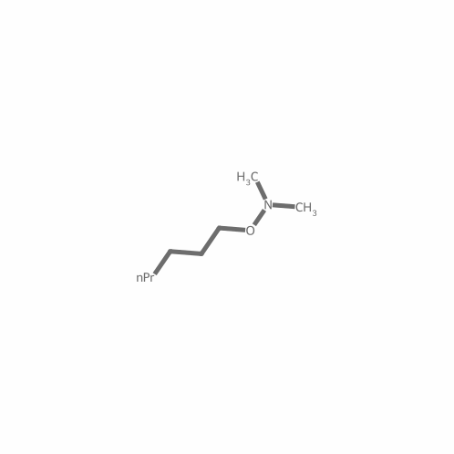 CCCCCCON(C)C